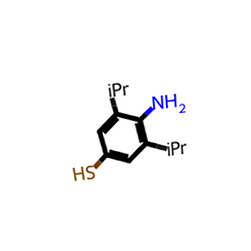 CC(C)c1cc(S)cc(C(C)C)c1N